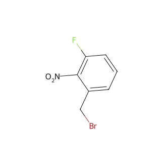 O=[N+]([O-])c1c(F)cccc1CBr